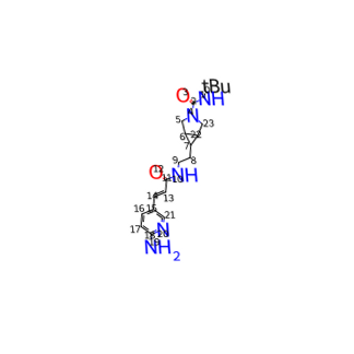 CC(C)(C)NC(=O)N1CC2C(CCNC(=O)/C=C/c3ccc(N)nc3)C2C1